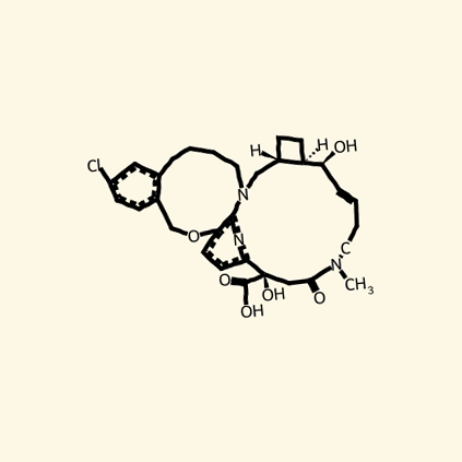 CN1CC/C=C/[C@H](O)[C@@H]2CC[C@H]2CN2CCCCc3cc(Cl)ccc3COc3ccc(nc32)[C@@](O)(C(=O)O)CC1=O